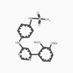 COc1cccc(-c2cc(Nc3ccc(NS(C)(=O)=O)cc3)ncn2)c1OC